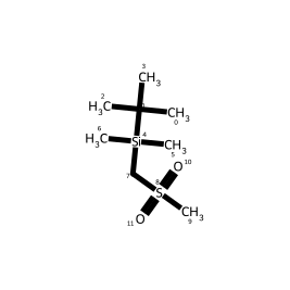 CC(C)(C)[Si](C)(C)CS(C)(=O)=O